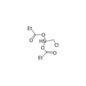 CCC(=O)O[SiH](CCl)OC(=O)CC